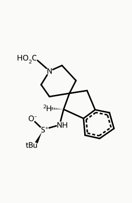 [2H][C@@]1(N[S@+]([O-])C(C)(C)C)c2ccccc2CC12CCN(C(=O)O)CC2